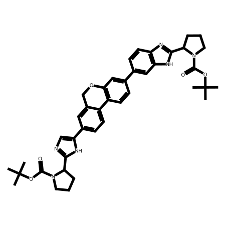 CC(C)(C)OC(=O)N1CCCC1c1ncc(-c2ccc3c(c2)COc2cc(-c4ccc5nc(C6CCCN6C(=O)OC(C)(C)C)[nH]c5c4)ccc2-3)[nH]1